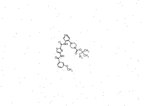 COc1cccc(C(=O)Nc2csc(C(=O)Nc3cnccc3N3CCN(C(=O)OC(C)(C)C)CC3)n2)c1